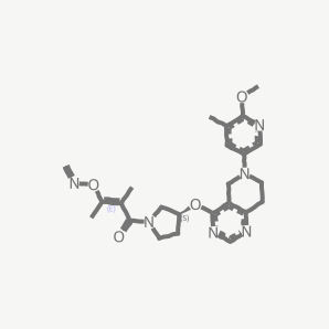 C=NO/C(C)=C(\C)C(=O)N1CC[C@H](Oc2ncnc3c2CN(c2cnc(OC)c(C)c2)CC3)C1